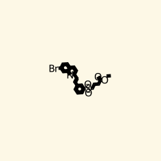 CCOC(=O)CCCS(=O)(=O)c1cccc(C=Cc2ccc3ccc(Br)cc3n2)c1